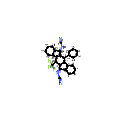 N#C/N=c1\c2ccccc2c2c(-c3ccccc3)c3/c(=N/C#N)c4ccccc4c3c(C(F)(F)F)c12